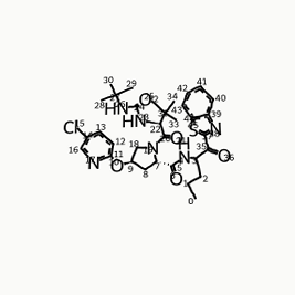 CCCC(NC(=O)[C@@H]1C[C@@H](Oc2ccc(Cl)cn2)CN1C(=O)[C@@H](NC(=O)NC(C)(C)C)C(C)(C)C)C(=O)c1nc2ccccc2s1